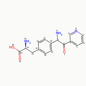 NC(C(=O)c1cccnc1)c1ccc(C[C@H](N)C(=O)O)cc1